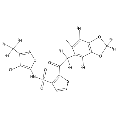 [2H]c1c(C)c(C([2H])([2H])C(=O)c2sccc2S(=O)(=O)Nc2onc(C([2H])([2H])[2H])c2Cl)c([2H])c2c1OC([2H])([2H])O2